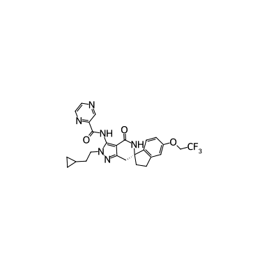 O=C(Nc1c2c(nn1CCC1CC1)C[C@]1(CCc3cc(OCC(F)(F)F)ccc31)NC2=O)c1cnccn1